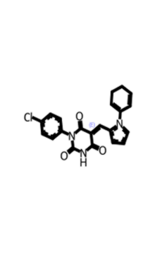 O=C1NC(=O)N(c2ccc(Cl)cc2)C(=O)/C1=C/c1cccn1C1=CCCC=C1